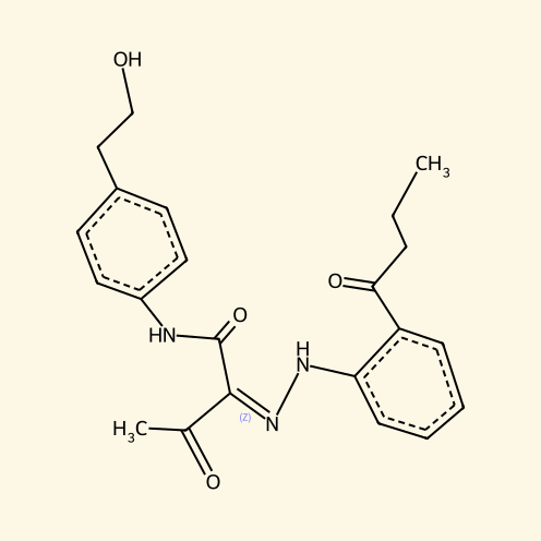 CCCC(=O)c1ccccc1N/N=C(/C(C)=O)C(=O)Nc1ccc(CCO)cc1